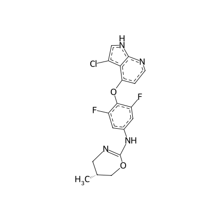 C[C@@H]1CN=C(Nc2cc(F)c(Oc3ccnc4[nH]cc(Cl)c34)c(F)c2)OC1